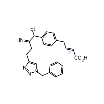 CCC(C(=N)CCc1cn(Cc2ccccc2)nn1)c1ccc(C/C=C/C(=O)O)cc1